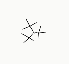 C[C](C)(C)[Al]([C](C)(C)C)[C](C)(C)C